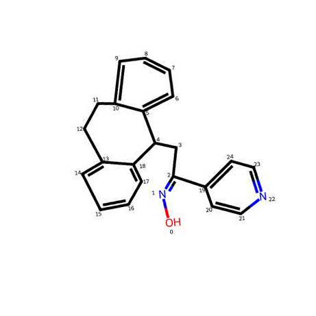 ON=C(CC1c2ccccc2CCc2ccccc21)c1ccncc1